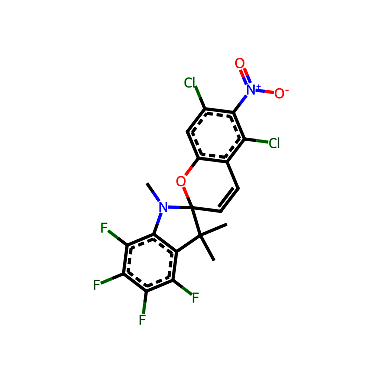 CN1c2c(F)c(F)c(F)c(F)c2C(C)(C)C12C=Cc1c(cc(Cl)c([N+](=O)[O-])c1Cl)O2